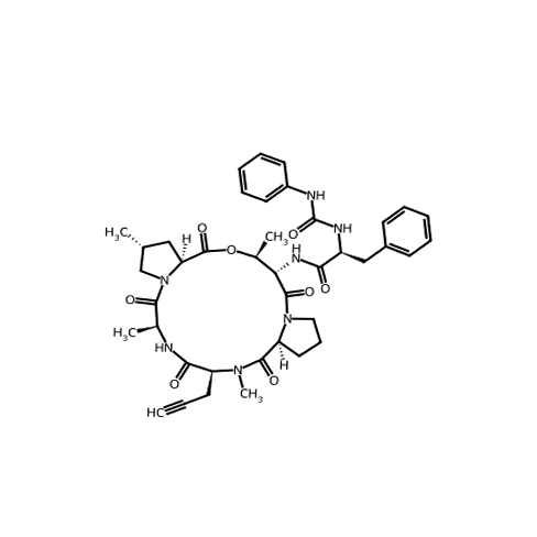 C#CC[C@H]1C(=O)N[C@@H](C)C(=O)N2C[C@H](C)C[C@H]2C(=O)O[C@@H](C)[C@H](NC(=O)[C@H](Cc2ccccc2)NC(=O)Nc2ccccc2)C(=O)N2CCC[C@H]2C(=O)N1C